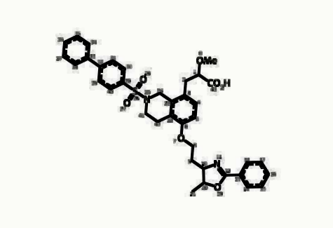 COC(Cc1ccc(OCCC2N=C(c3ccccc3)OC2C)c2c1CN(S(=O)(=O)c1ccc(-c3ccccc3)cc1)CC2)C(=O)O